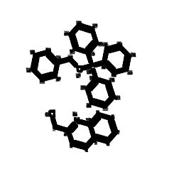 ClCc1ccc2ccccc2n1.c1ccc(CO[P](c2ccccc2)(c2ccccc2)c2ccccc2)cc1